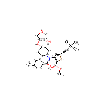 COC(=O)c1sc(C#CC(C)(C)C)cc1N(C(=O)C1CCC(C)CC1)C1CCC(O[C@H]2COC[C@@H]2O)CC1